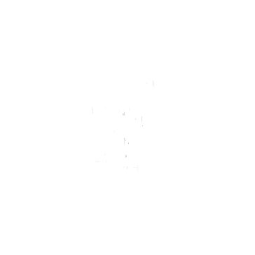 CC=C[Si](C)(C)CNC(C)C